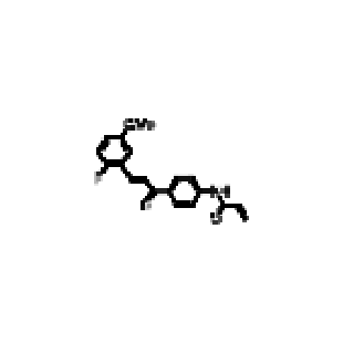 C=CC(=O)Nc1ccc(C(=O)/C=C/c2cc(OC)ccc2F)cc1